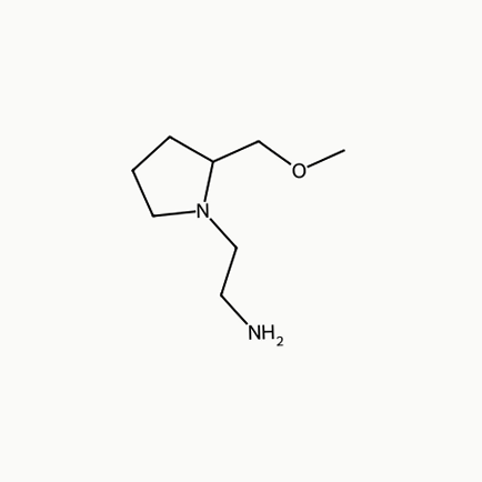 COCC1CCCN1CCN